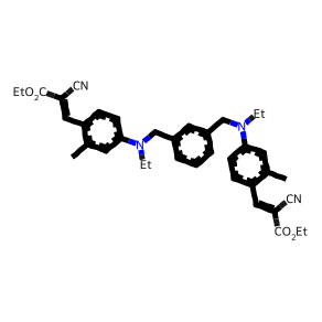 CCOC(=O)/C(C#N)=C/c1ccc(N(CC)Cc2cccc(CN(CC)c3ccc(/C=C(\C#N)C(=O)OCC)c(C)c3)c2)cc1C